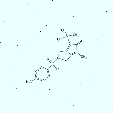 CC1=C2CN(S(=O)(=O)c3ccc(C)cc3)CC2=C([Si](C)(C)C)C1=O